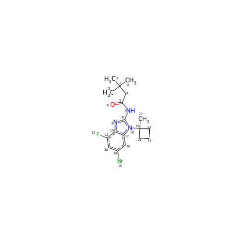 CC(C)(C)CC(=O)Nc1nc2c(F)cc(Br)cc2n1C1(C)CCC1